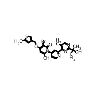 Cc1cc(COc2cc(C)n(-c3ccnc(-c4nc(C(C)(C)O)ncc4C)c3)c(=O)c2Br)cs1